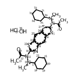 CC(=O)N(c1nc2cc3nc(N(C(C)=O)N(C)C4CCCCC4)sc3cc2s1)N(C)C1CCCCC1.Cl.Cl